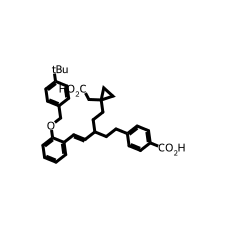 CC(C)(C)c1ccc(COc2ccccc2C=CC(CCc2ccc(C(=O)O)cc2)CCC2(CC(=O)O)CC2)cc1